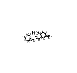 Oc1ccc(Br)cc1C=NCN1CCCCC1